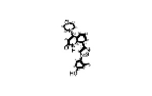 Cc1cc(O)ccc1-n1cc(-c2cccc3c(N4CCOCC4)cc(=O)[nH]c23)nn1